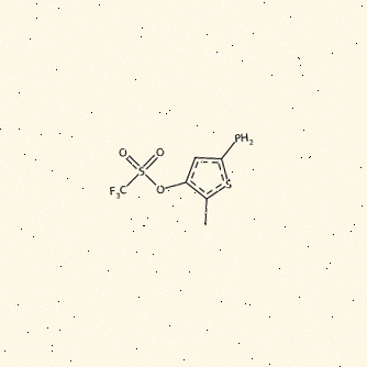 Cc1sc(P)cc1OS(=O)(=O)C(F)(F)F